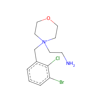 NCC[N+]1(Cc2cccc(Br)c2Cl)CCOCC1